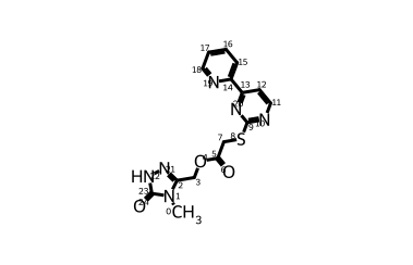 Cn1c(COC(=O)CSc2nccc(-c3ccccn3)n2)n[nH]c1=O